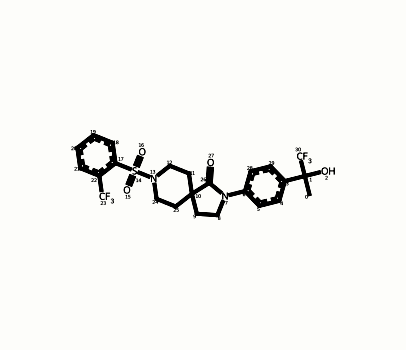 CC(O)(c1ccc(N2CCC3(CCN(S(=O)(=O)c4ccccc4C(F)(F)F)CC3)C2=O)cc1)C(F)(F)F